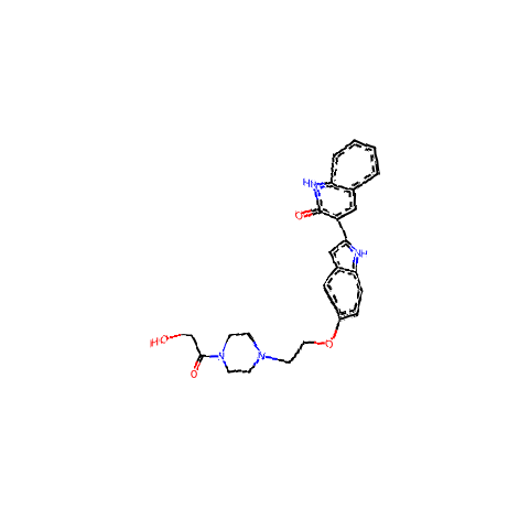 O=C(CO)N1CCN(CCOc2ccc3[nH]c(-c4cc5ccccc5[nH]c4=O)cc3c2)CC1